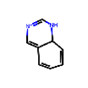 C1=CC2=C[N+]=CNC2C=C1